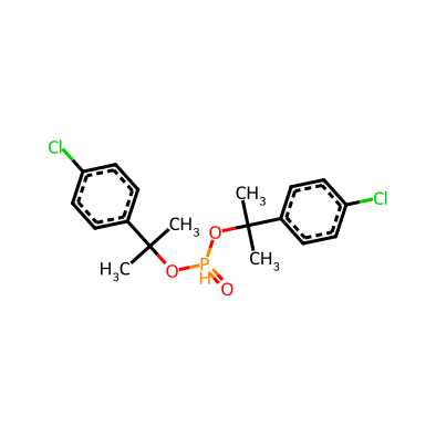 CC(C)(O[PH](=O)OC(C)(C)c1ccc(Cl)cc1)c1ccc(Cl)cc1